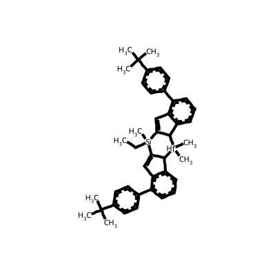 CC[Si]1(C)C2=Cc3c(-c4ccc(C(C)(C)C)cc4)cccc3[CH]2[Hf]([CH3])([CH3])[CH]2C1=Cc1c(-c3ccc(C(C)(C)C)cc3)cccc12